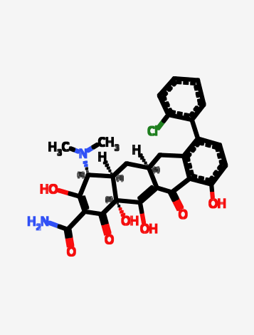 CN(C)[C@H]1C(O)=C(C(N)=O)C(=O)[C@]2(O)C(O)=C3C(=O)c4c(O)ccc(-c5ccccc5Cl)c4C[C@@H]3C[C@H]12